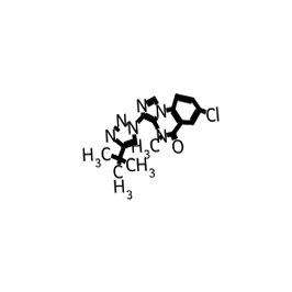 Cn1c(=O)c2cc(Cl)ccc2n2cnc(-n3cc(C(C)(C)C)nn3)c12